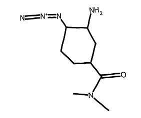 CN(C)C(=O)C1CCC(N=[N+]=[N-])C(N)C1